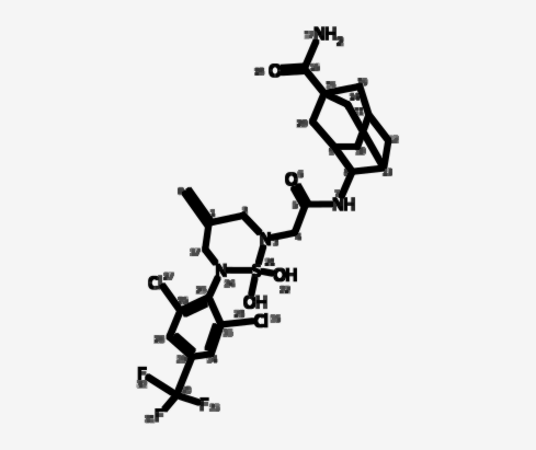 C=C1CN(CC(=O)NC2C3CC4CC2CC(C(N)=O)(C4)C3)S(O)(O)N(c2c(Cl)cc(C(F)(F)F)cc2Cl)C1